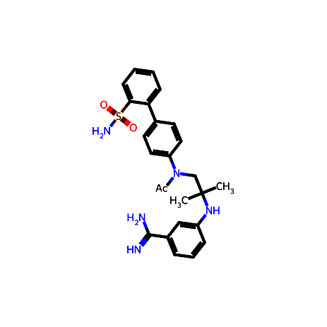 CC(=O)N(CC(C)(C)Nc1cccc(C(=N)N)c1)c1ccc(-c2ccccc2S(N)(=O)=O)cc1